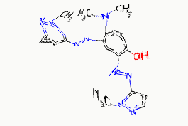 CN(C)c1cc(O)c(/N=N/c2ccnn2C)cc1/N=N/c1ccnn1C